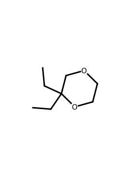 CCC1(CC)COCCO1